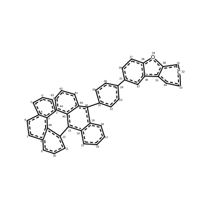 c1ccc2c(c1)ccc1cccc(-c3c4ccccc4c(-c4ccc(-c5ccc6oc7ccccc7c6c5)cc4)c4ccccc34)c12